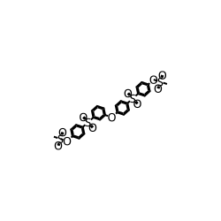 CS(=O)(=O)Oc1ccc(S(=O)(=O)c2ccc(Oc3cccc(S(=O)(=O)c4ccc(OS(C)(=O)=O)cc4)c3)cc2)cc1